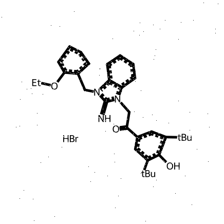 Br.CCOc1ccccc1Cn1c(=N)n(CC(=O)c2cc(C(C)(C)C)c(O)c(C(C)(C)C)c2)c2ccccc21